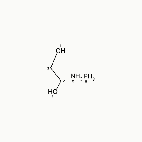 N.OCCO.P